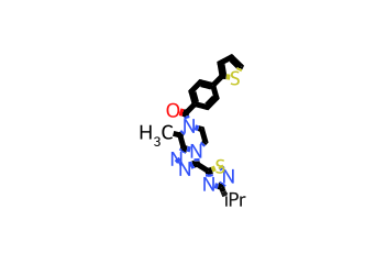 CC(C)c1nsc(-c2nnc3n2CCN(C(=O)c2ccc(-c4cccs4)cc2)C3C)n1